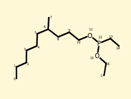 CCCCCCC(C)CCCOP(CC)OCC